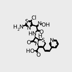 Nc1nc(/C(=N/O)C(=O)N[C@@H]2C(=O)N3C(C(=O)O)=C(/C=C\c4cccnc4)CS[C@H]23)c(Cl)s1